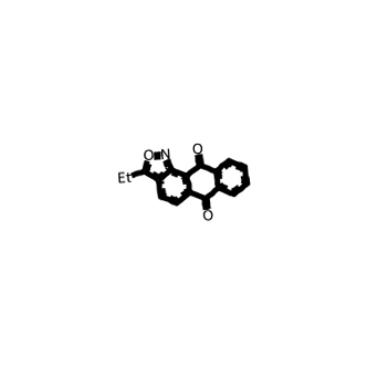 CCc1onc2c3c(ccc12)C(=O)c1ccccc1C3=O